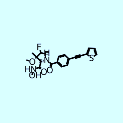 COC(C)(C(F)F)[C@H](NC(=O)c1ccc(C#Cc2cccs2)cc1)C(=O)NO